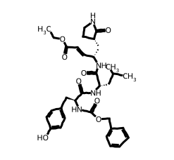 CCOC(=O)/C=C/[C@H](C[C@@H]1CCNC1=O)NC(=O)[C@H](CC(C)C)NC(=O)[C@H](Cc1ccc(O)cc1)NC(=O)OCc1ccccc1